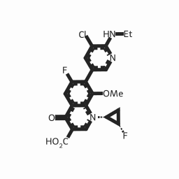 CCNc1ncc(-c2c(F)cc3c(=O)c(C(=O)O)cn([C@@H]4C[C@@H]4F)c3c2OC)cc1Cl